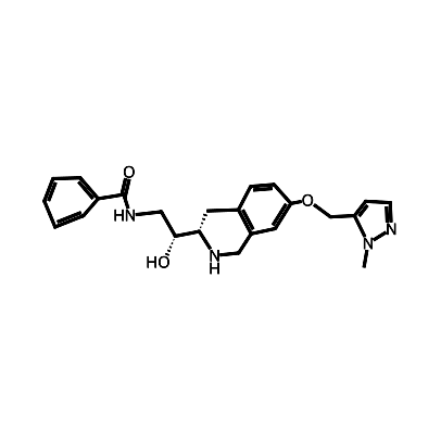 Cn1nccc1COc1ccc2c(c1)CN[C@H]([C@H](O)CNC(=O)c1ccccc1)C2